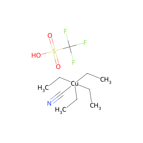 C[CH2][Cu]([C]#N)([CH2]C)([CH2]C)[CH2]C.O=S(=O)(O)C(F)(F)F